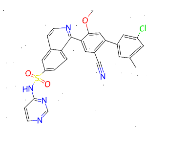 COc1cc(-c2cc(C)cc(Cl)c2)c(C#N)cc1-c1nccc2cc(S(=O)(=O)Nc3ccncn3)ccc12